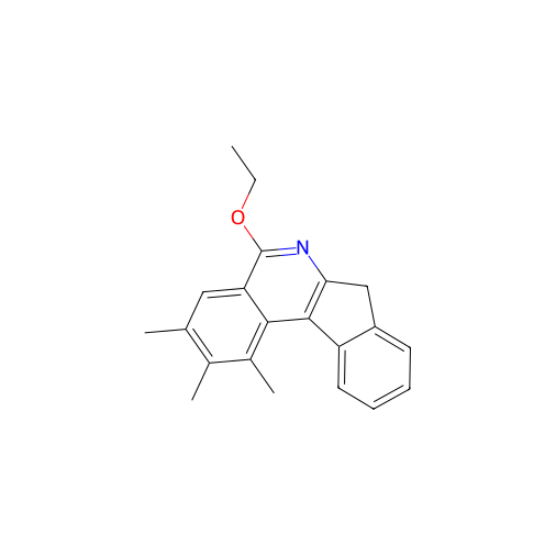 CCOc1nc2c(c3c(C)c(C)c(C)cc13)-c1ccccc1C2